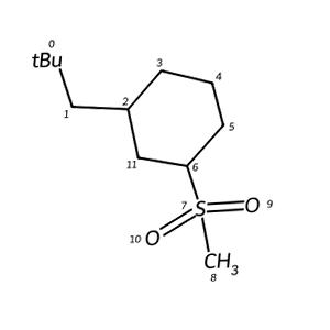 CC(C)(C)CC1CCCC(S(C)(=O)=O)C1